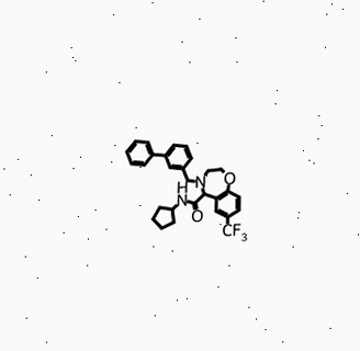 O=C(NC1CCCC1)C1c2cc(C(F)(F)F)ccc2OCCN1Cc1cccc(-c2ccccc2)c1